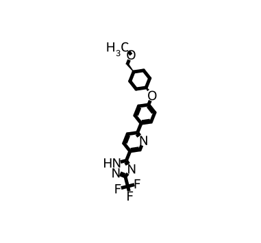 COC[C@H]1CC[C@@H](Oc2ccc(-c3ccc(-c4nc(C(F)(F)F)n[nH]4)cn3)cc2)CC1